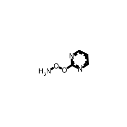 NOOc1ncccn1